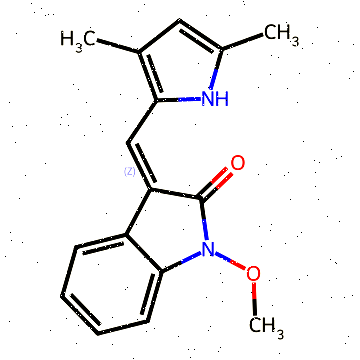 CON1C(=O)/C(=C\c2[nH]c(C)cc2C)c2ccccc21